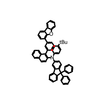 CC(C)(C)c1ccc(N(c2ccc3c(c2)-c2ccccc2C3(c2ccccc2)c2ccccc2)c2ccc3ccccc3c2-c2cccc(-c3cccc4c3oc3ccccc34)c2)cc1